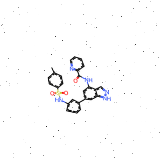 Cc1ccc(S(=O)(=O)Nc2cccc(-c3cc(NC(=O)c4ccccn4)c4cn[nH]c4c3)c2)cc1